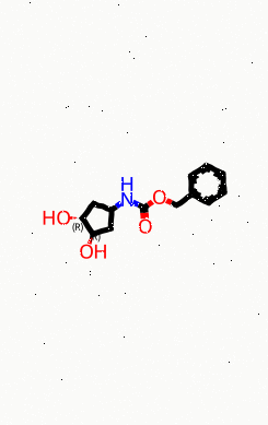 O=C(NC1C[C@@H](O)[C@H](O)C1)OCc1ccccc1